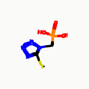 O=P(O)(O)Cn1nnnc1[S]